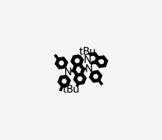 Cc1ccc(N(c2ccc(C)cc2)c2c3cc(C(C)(C)C)ccc3c(N(c3ccc(C)cc3)c3nccc4ccccc34)c3cc(C(C)(C)C)ccc23)cc1